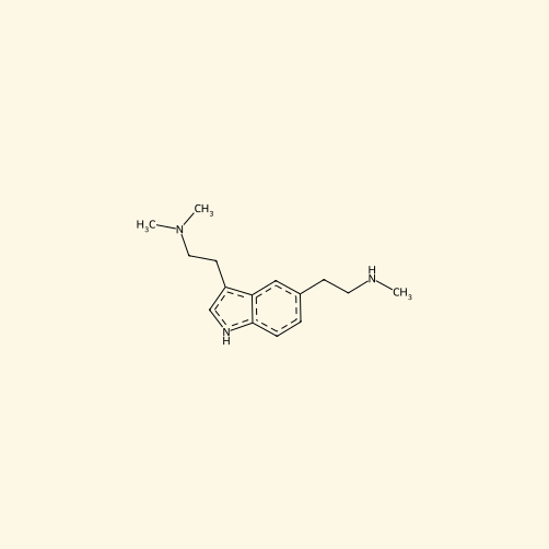 CNCCc1ccc2[nH]cc(CCN(C)C)c2c1